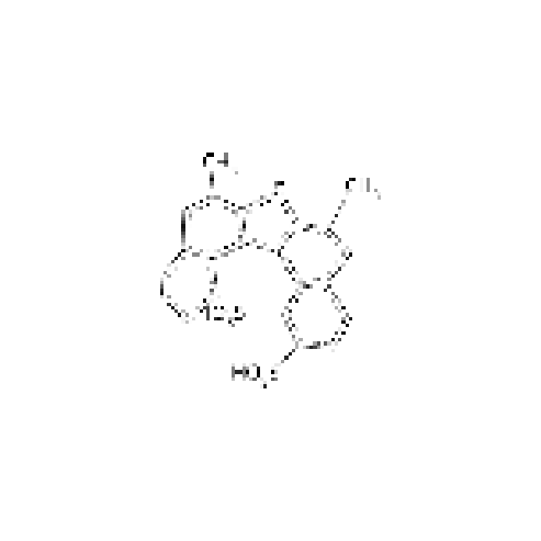 Cc1cc2ccccc2c2c1oc1c(C)cc3ccc(S(=O)(=O)O)c(S(=O)(=O)O)c3c12